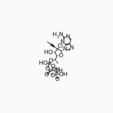 CC#CC1(Cl)[C@@H](O)[C@@H]([C@@H](C)OP(=O)(O)OP(=O)(O)OP(=O)(O)O)O[C@H]1n1cnc2cnc(N)nc21